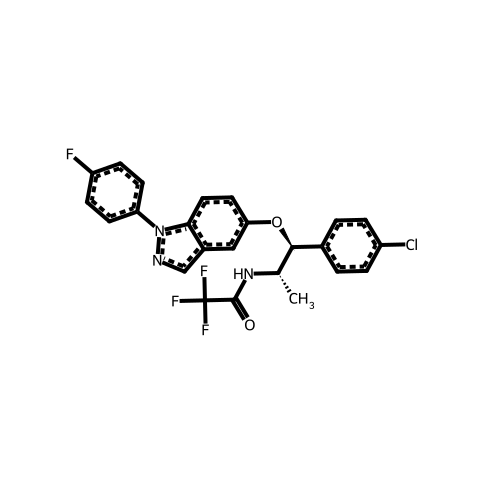 C[C@H](NC(=O)C(F)(F)F)[C@@H](Oc1ccc2c(cnn2-c2ccc(F)cc2)c1)c1ccc(Cl)cc1